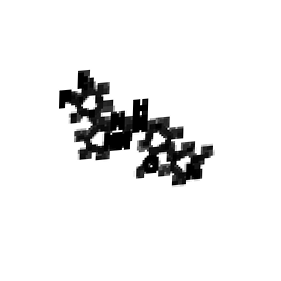 COc1cc(Nc2nc3c(-c4ccc(F)c(F)c4)cccn3n2)ccc1-c1ccnc(C)c1